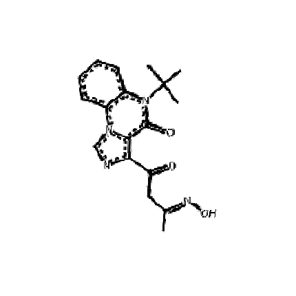 CC(CC(=O)c1ncn2c1c(=O)n(C(C)(C)C)c1ccccc12)=NO